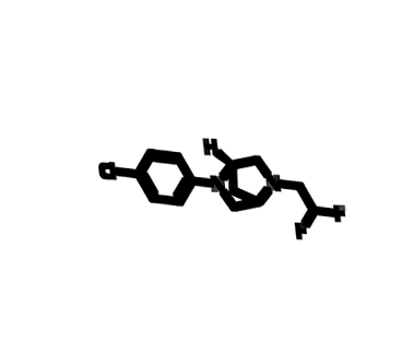 FC(F)CN1C[C@@H]2CC1CN2c1ccc(Cl)cc1